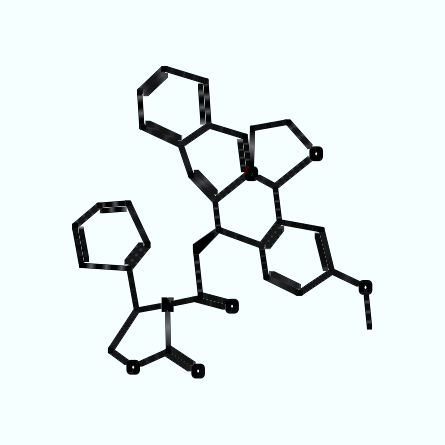 COc1ccc([C@@H](CC(=O)N2C(=O)OCC2c2ccccc2)c2ccc3ccccc3c2)c(C2OCCO2)c1